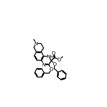 COC(=O)C1(OCc2ccccc2)Nc2c(ccc3c2CCN(C)C3)N=C1OCc1ccccc1